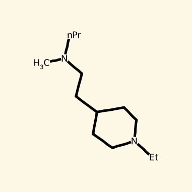 CCCN(C)CCC1CCN(CC)CC1